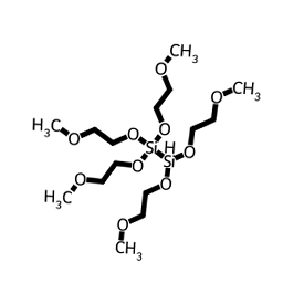 COCCO[SiH](OCCOC)[Si](OCCOC)(OCCOC)OCCOC